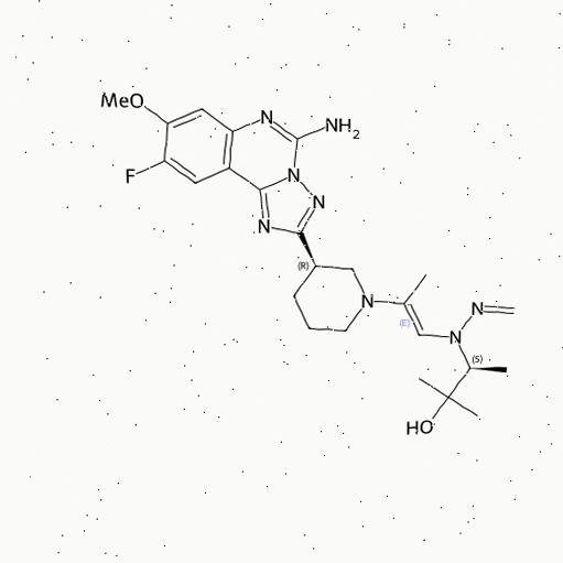 C=NN(/C=C(\C)N1CCC[C@@H](c2nc3c4cc(F)c(OC)cc4nc(N)n3n2)C1)[C@@H](C)C(C)(C)O